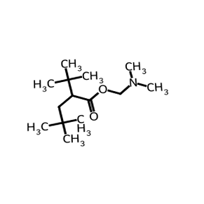 CN(C)COC(=O)C(CC(C)(C)C)C(C)(C)C